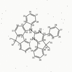 CC1(C)c2ccccc2-c2c1ccc1c3ccccc3n(-c3nc(-c4ccccc4)c4c(n3)-c3ccccc3C4(C)C)c21